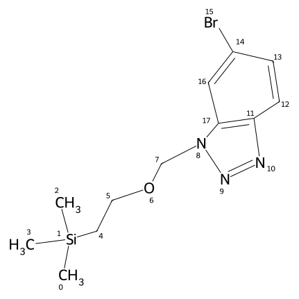 C[Si](C)(C)CCOCn1nnc2ccc(Br)cc21